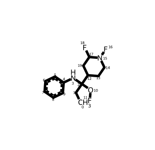 CCC(Nc1ccccc1)(OF)C1CCN(F)C(F)C1